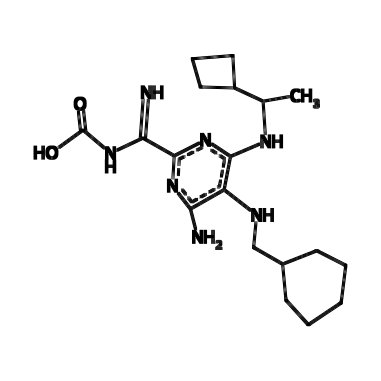 CC(Nc1nc(C(=N)NC(=O)O)nc(N)c1NCC1CCCCC1)C1CCC1